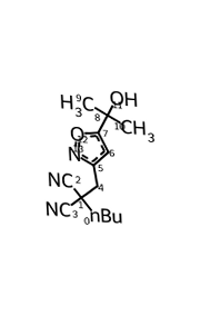 CCCCC(C#N)(C#N)Cc1cc(C(C)(C)O)on1